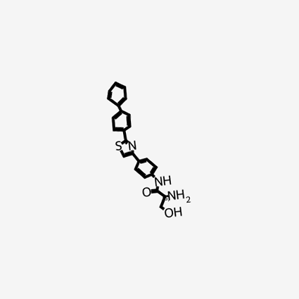 N[C@@H](CO)C(=O)Nc1ccc(-c2csc(-c3ccc(-c4ccccc4)cc3)n2)cc1